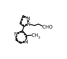 Cc1nccnc1-c1ccnn1CCC=O